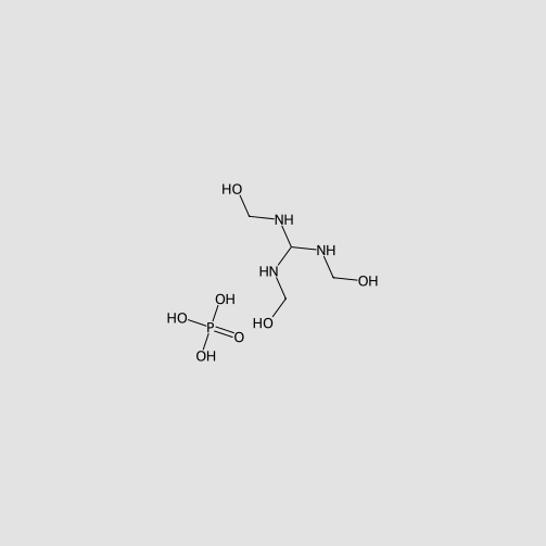 O=P(O)(O)O.OCNC(NCO)NCO